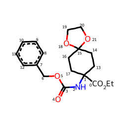 CCOC(=O)C1(NC(=O)OCc2ccccc2)CCC2(CC1)OCCO2